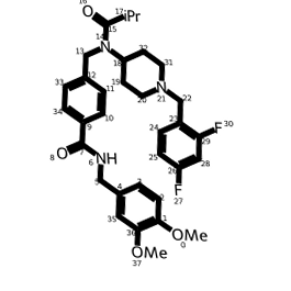 COc1ccc(CNC(=O)c2ccc(CN(C(=O)C(C)C)C3CCN(Cc4ccc(F)cc4F)CC3)cc2)cc1OC